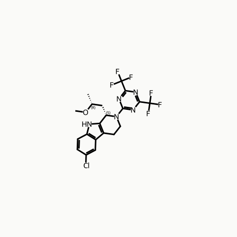 CO[C@H](C)C[C@H]1c2[nH]c3ccc(Cl)cc3c2CCN1c1nc(C(F)(F)F)nc(C(F)(F)F)n1